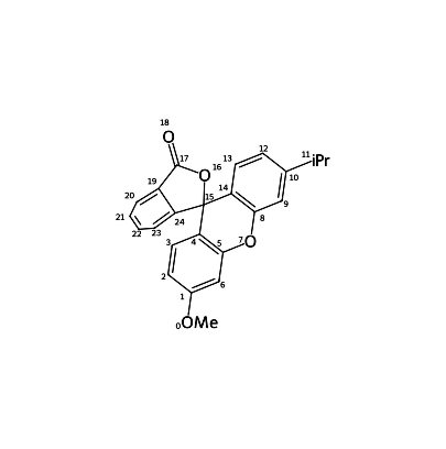 COc1ccc2c(c1)Oc1cc(C(C)C)ccc1C21OC(=O)c2ccccc21